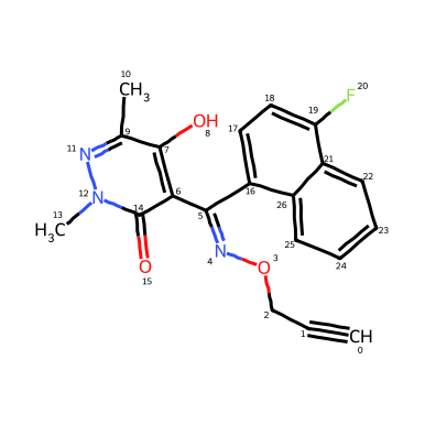 C#CCO/N=C(/c1c(O)c(C)nn(C)c1=O)c1ccc(F)c2ccccc12